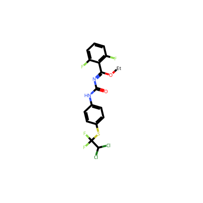 CCOC(=NC(=O)Nc1ccc(SC(F)(F)C(Cl)Cl)cc1)c1c(F)cccc1F